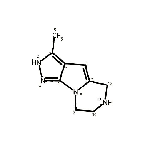 FC(F)(F)c1[nH]nc2c1cc1n2CCNC1